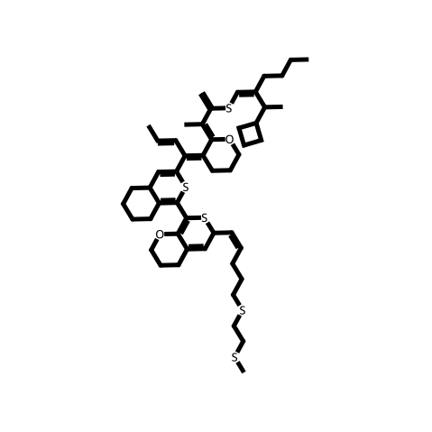 C=C(S/C=C(/CCCC)C(C)C1CCC1)/C(C)=C1\OCCC\C1=C(\C=CC)C1=CC2CCCCC2=C(C2=C3OCCCC3=CC(/C=C\CCCSCCSC)S2)S1